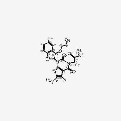 CCNC(=O)[C@H](C)n1c(=O)c2c(C)c(C(=O)O)sc2n(C[C@H](OCCC#N)c2cc(F)ccc2OC)c1=O